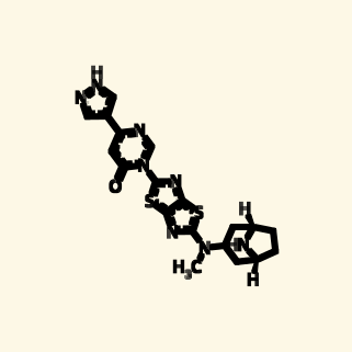 CN(c1nc2sc(-n3cnc(-c4cn[nH]c4)cc3=O)nc2s1)C1C[C@H]2CC[C@@H](C1)N2